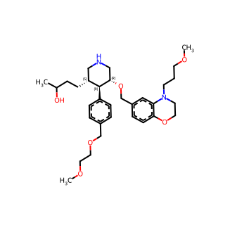 COCCCN1CCOc2ccc(CO[C@H]3CNC[C@@H](CCC(C)O)[C@@H]3c3ccc(COCCOC)cc3)cc21